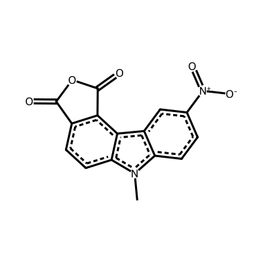 Cn1c2ccc([N+](=O)[O-])cc2c2c3c(ccc21)C(=O)OC3=O